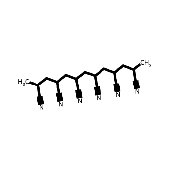 CC(C#N)CC(C#N)CC(C#N)CC(C#N)CC(C#N)CC(C)C#N